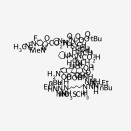 CC(C)(C)C(=O)OCOC(=O)C1N2C(=O)[C@@H](/N=C/N3CCCCCC3)[C@H]2SC1(C)C.CC1(C)S[C@@H]2[C@H](/N=C/N3CCCCCC3)C(=O)N2[C@H]1C(=O)O.CCCCC(CC)CNC(=N)NC(=N)NCCCCCCNC(=N)NC(=N)NCC(CC)CCCC.CN(C)[C@@H]1C(O)=C(C(N)=O)C(=O)[C@@]2(O)C(O)=C3C(=O)c4c(ccc(N)c4O)C[C@H]3C[C@@H]12.CNn1cc(C(=O)O)c(=O)c2cc(F)c(N3CCN(C)CC3)cc21.CS(=O)(=O)O